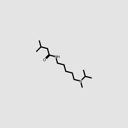 CC(C)CC(=O)NCCCCCN(C)C(C)C